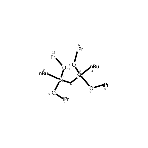 CCCC[Si](C[Si](CCCC)(OC(C)C)OC(C)C)(OC(C)C)OC(C)C